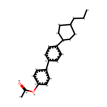 CCCC1CCC(c2ccc(-c3ccc(OC(C)=O)cc3)cc2)CC1